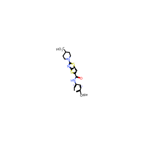 C=C(/C=C\C(=C/C)NC(=O)c1cc2sc(N3CCC(C(=O)O)CC3)nc2s1)OC